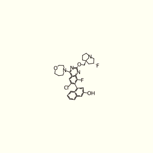 Oc1cc(-c2c(Cl)cc3c(N4CCCOCC4)nc(OC[C@@]45CCCN4C[C@H](F)C5)nc3c2F)c2ccccc2c1